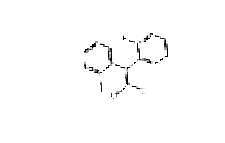 ClC(Cl)=C(c1ccccc1I)c1ccccc1I